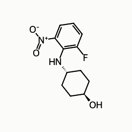 O=[N+]([O-])c1cccc(F)c1N[C@H]1CC[C@H](O)CC1